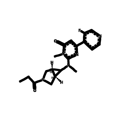 CCC(=O)N1C[C@@H]2C(N(C)c3nc(-c4ccncc4F)cc(=O)n3C)[C@@H]2C1